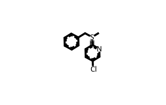 C[SH](Cc1ccccc1)c1ccc(Cl)cn1